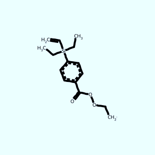 [CH2]COOC(=O)c1ccc([Si](C=C)(CC)CC)cc1